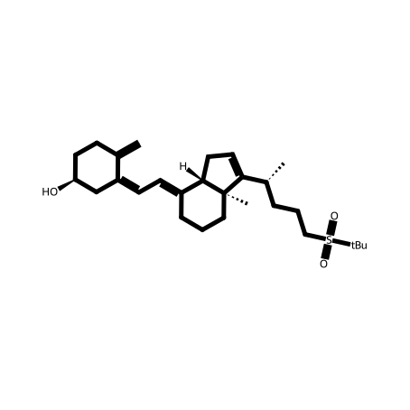 C=C1CC[C@H](O)C/C1=C/C=C1\CCC[C@]2(C)C([C@H](C)CCCS(=O)(=O)C(C)(C)C)=CC[C@@H]12